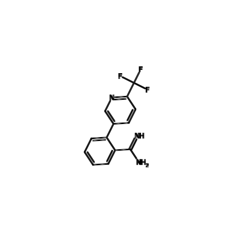 N=C(N)c1ccccc1-c1ccc(C(F)(F)F)nc1